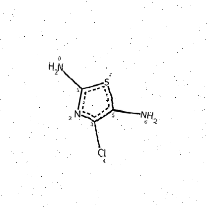 Nc1nc(Cl)c(N)s1